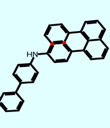 c1ccc(-c2ccc(Nc3ccc(-c4cccc5cccc(-c6ccccc6)c45)cc3)cc2)cc1